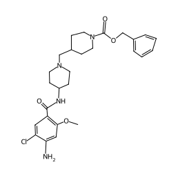 COc1cc(N)c(Cl)cc1C(=O)NC1CCN(CC2CCN(C(=O)OCc3ccccc3)CC2)CC1